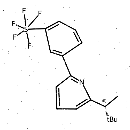 C[C@@H](c1cccc(-c2cccc(S(F)(F)(F)(F)F)c2)n1)C(C)(C)C